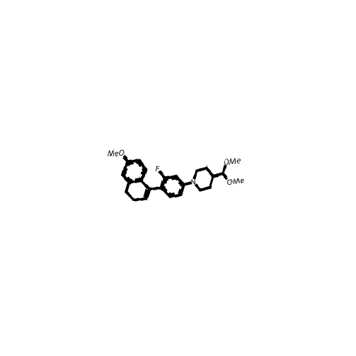 COc1ccc2c(c1)CCC=C2c1ccc(N2CCC(C(OC)OC)CC2)cc1F